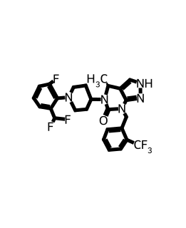 C[C@@H]1c2c[nH]nc2N(Cc2ccccc2C(F)(F)F)C(=O)N1C1CCN(c2c(F)cccc2C(F)F)CC1